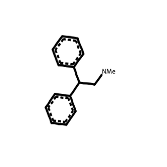 [CH2+][N-]CC(c1ccccc1)c1ccccc1